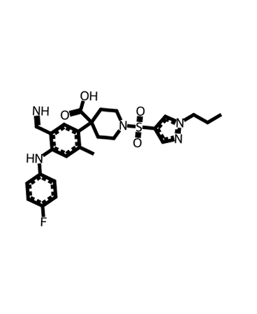 CCCn1cc(S(=O)(=O)N2CCC(C(=O)O)(c3cc(C=N)c(Nc4ccc(F)cc4)cc3C)CC2)cn1